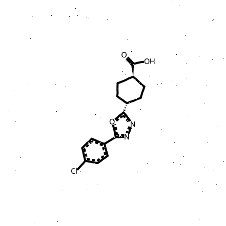 O=C(O)[C@H]1CC[C@H](c2nnc(-c3ccc(Cl)cc3)o2)CC1